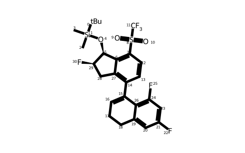 CC(C)(C)[Si](C)(C)O[C@H]1c2c(S(=O)(=O)C(F)(F)F)ccc(C3=CCCc4cc(F)cc(F)c43)c2C[C@H]1F